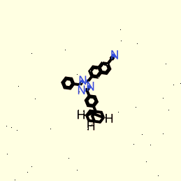 N#Cc1ccc2cc(-c3nc(-c4ccccc4)nc(-c4ccc(C56C[C@H]7C[C@H](C5)C[C@@H](C6)C7)cc4)n3)ccc2c1